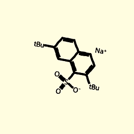 CC(C)(C)c1ccc2ccc(C(C)(C)C)c(S(=O)(=O)[O-])c2c1.[Na+]